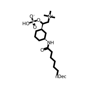 CCCCCCCCCCCCCCCC(=O)N[C@@H]1CCC[C@@H](C(C[N+](C)(C)C)OP(=O)([O-])O)C1